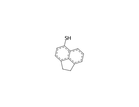 Sc1ccc2c3c(cccc13)CC2